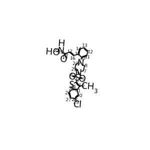 Cc1c(S(=O)(=O)N2CCN(c3ccccc3C=CC(=O)NO)CC2)sc2ccc(Cl)cc12